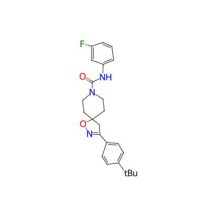 CC(C)(C)c1ccc(C2=NOC3(CCN(C(=O)Nc4cccc(F)c4)CC3)C2)cc1